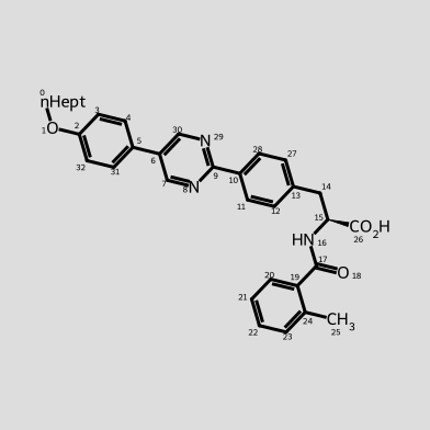 CCCCCCCOc1ccc(-c2cnc(-c3ccc(C[C@H](NC(=O)c4ccccc4C)C(=O)O)cc3)nc2)cc1